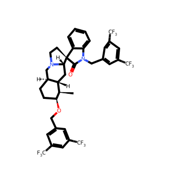 C[C@@H]1[C@H]2C[C@@H]3N(CC[C@@]34C(=O)N(Cc3cc(C(F)(F)F)cc(C(F)(F)F)c3)c3ccccc34)C[C@@H]2CC[C@@H]1OCc1cc(C(F)(F)F)cc(C(F)(F)F)c1